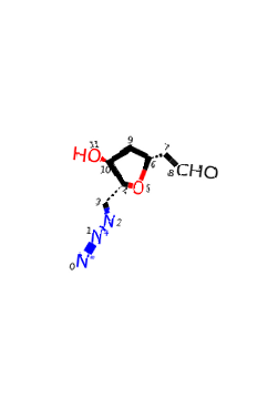 [N-]=[N+]=NC[C@H]1O[C@@H](CC=O)C[C@@H]1O